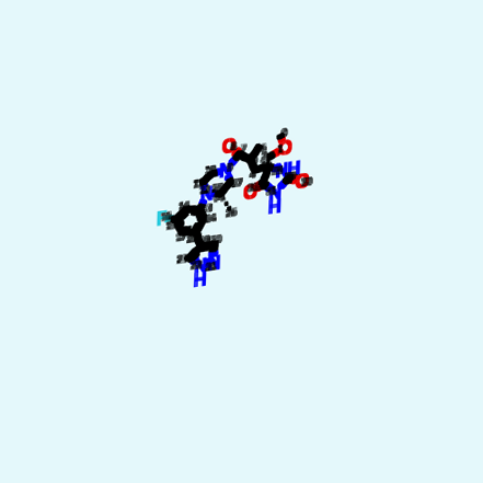 COC[C@]1(CC(C)C(=O)N2CCN(c3cc(F)cc(-c4cn[nH]c4)c3)[C@@H](C)C2)NC(=O)NC1=O